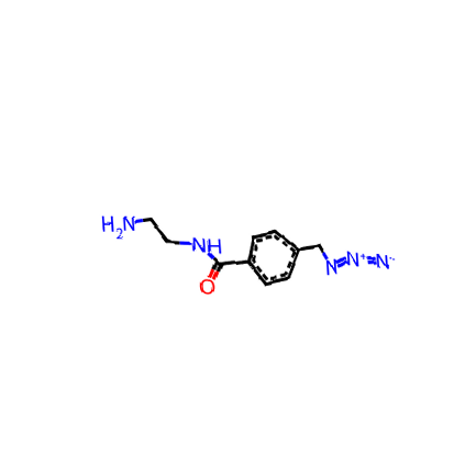 [N-]=[N+]=NCc1ccc(C(=O)NCCN)cc1